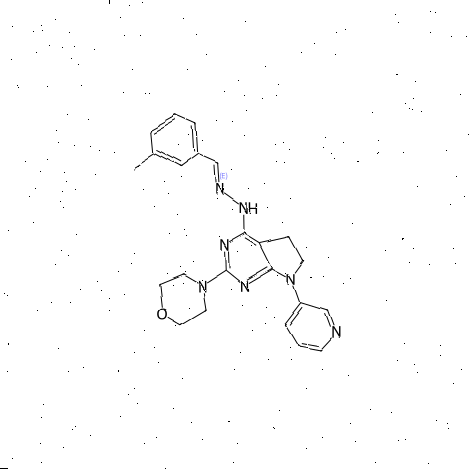 Cc1cccc(/C=N/Nc2nc(N3CCOCC3)nc3c2CCN3c2cccnc2)c1